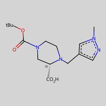 Cn1cc(CN2CCN(C(=O)OC(C)(C)C)C[C@H]2C(=O)O)cn1